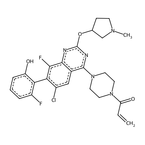 C=CC(=O)N1CCN(c2nc(OC3CCN(C)C3)nc3c(F)c(-c4c(O)cccc4F)c(Cl)cc23)CC1